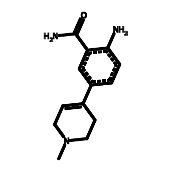 CN1CC=C(c2ccc(N)c(C(N)=O)c2)CC1